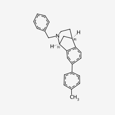 Cc1ccc(-c2ccc3c(c2)[C@@H]2C[C@H]3CCN2Cc2ccccc2)cc1